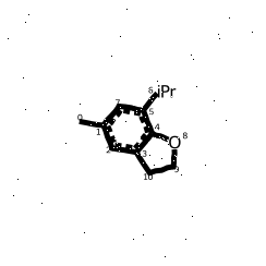 Cc1cc2c(c(C(C)C)c1)OCC2